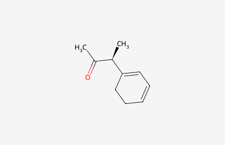 CC(=O)[C@@H](C)C1=CC=CCC1